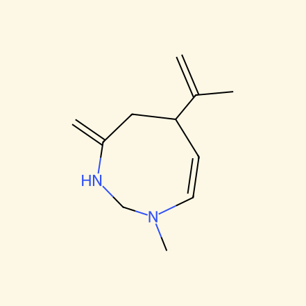 C=C1CC(C(=C)C)/C=C\N(C)CN1